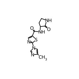 Cc1cn(-c2ncc(C(=O)NC3CCNC3=O)s2)cn1